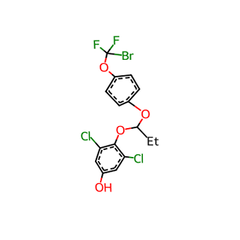 CCC(Oc1ccc(OC(F)(F)Br)cc1)Oc1c(Cl)cc(O)cc1Cl